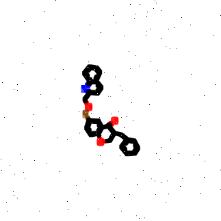 O=C1c2cc(SOCc3ccc4ccccc4n3)ccc2OCC1Cc1ccccc1